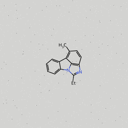 CCc1nc2ccc(C)c3c4ccccc4n1c23